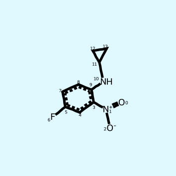 O=[N+]([O-])c1cc(F)ccc1NC1CC1